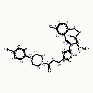 COC1=C(/C)CCc2ccc(C)cc2/C=C\1c1noc(CCC(=O)N2CCN(c3ccc(F)cc3)CC2)n1